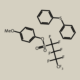 COc1ccc(OS(=O)(=O)C(F)(F)C(F)(F)C(F)(F)C(F)(F)F)cc1.c1ccc(Sc2ccccc2)cc1